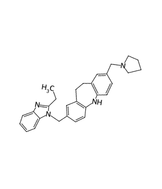 CCc1nc2ccccc2n1Cc1ccc2c(c1)CCc1cc(CN3CCCC3)ccc1N2